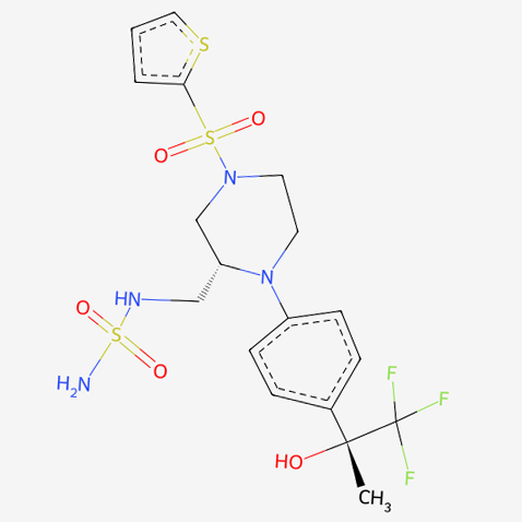 C[C@@](O)(c1ccc(N2CCN(S(=O)(=O)c3cccs3)C[C@H]2CNS(N)(=O)=O)cc1)C(F)(F)F